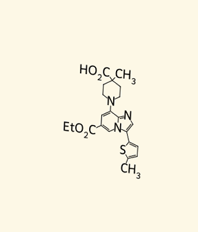 CCOC(=O)c1cc(N2CCC(C)(C(=O)O)CC2)c2ncc(-c3ccc(C)s3)n2c1